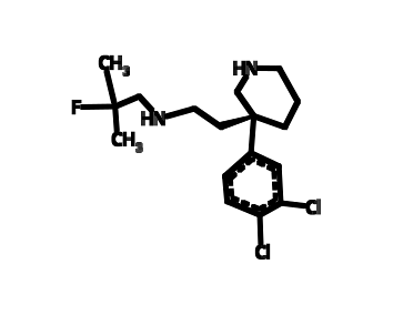 CC(C)(F)CNCC[C@]1(c2ccc(Cl)c(Cl)c2)CCCNC1